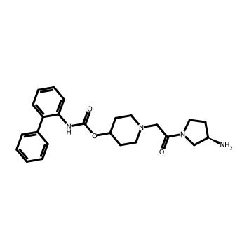 N[C@@H]1CCN(C(=O)CN2CCC(OC(=O)Nc3ccccc3-c3ccccc3)CC2)C1